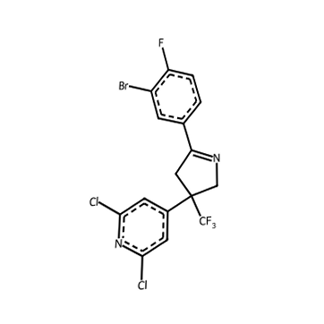 Fc1ccc(C2=NCC(c3cc(Cl)nc(Cl)c3)(C(F)(F)F)C2)cc1Br